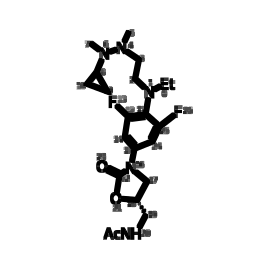 CCN(CCN(C)N(C)C1CC1)c1c(F)cc(N2C[C@H](CNC(C)=O)OC2=O)cc1F